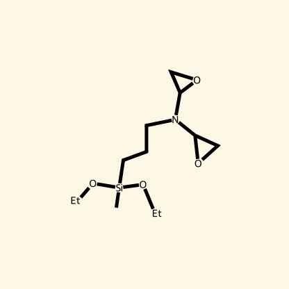 CCO[Si](C)(CCCN(C1CO1)C1CO1)OCC